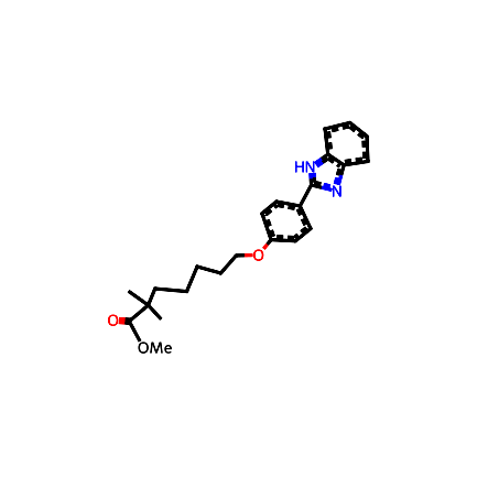 COC(=O)C(C)(C)CCCCCOc1ccc(-c2nc3ccccc3[nH]2)cc1